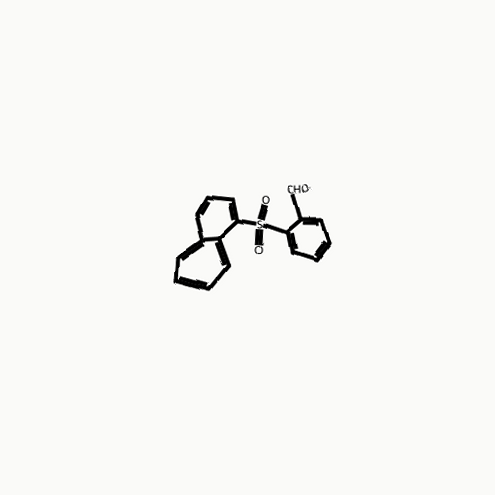 O=[C]c1ccccc1S(=O)(=O)c1cccc2ccccc12